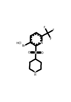 Cl.O=S(=O)(c1nc(C(F)(F)F)ccc1Br)C1CCNCC1